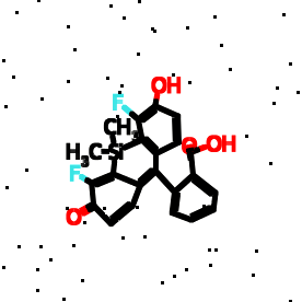 C[Si]1(C)C2=C(F)C(=O)C=CC2=C(c2ccccc2C(=O)O)c2ccc(O)c(F)c21